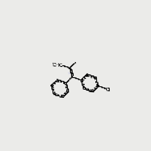 C/C(C=O)=C(/c1ccccc1)c1ccc(Cl)cc1